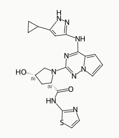 O=C(Nc1nccs1)[C@@H]1C[C@H](O)CN1c1nc(Nc2cc(C3CC3)[nH]n2)c2cccn2n1